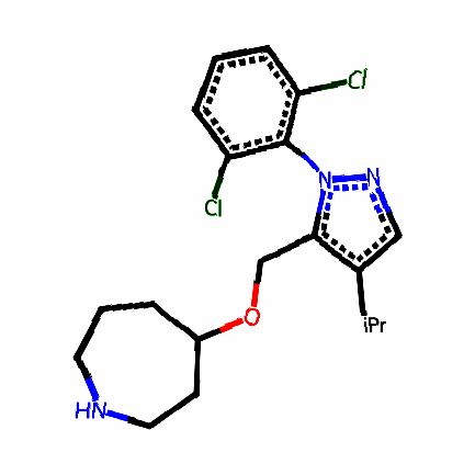 CC(C)c1cnn(-c2c(Cl)cccc2Cl)c1COC1CCCNCC1